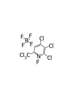 F[B-](F)(F)F.F[n+]1c(C(Cl)(Cl)Cl)cc(Cl)c(Cl)c1Cl